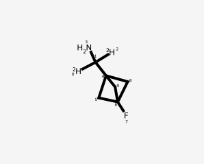 [2H]C([2H])(N)C12CC(F)(C1)C2